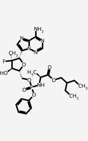 CCC(CC)COC(=O)[C@H](C)NP(=O)(OC[C@H]1O[C@@H](c2cnc3c(N)ncnn23)[C@](C)(F)[C@@H]1O)Oc1ccccc1